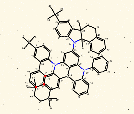 CC(C)(C)c1ccc(N2c3cc4c(cc3B3c5ccccc5N(c5ccccc5)c5cc(N6c7ccc(C(C)(C)C)cc7C7(C)CCc8ccccc8C67C)cc2c53)C(C)(C)CCC4(C)C)c(-c2ccccc2)c1